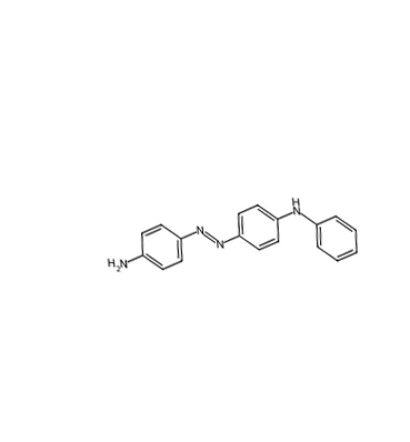 Nc1ccc(N=Nc2ccc(Nc3ccccc3)cc2)cc1